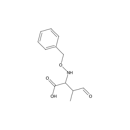 CC(C=O)C(NOCc1ccccc1)C(=O)O